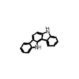 c1ccc2c(c1)[nH]c1c2ccc2[nH]c3ccccc3c21